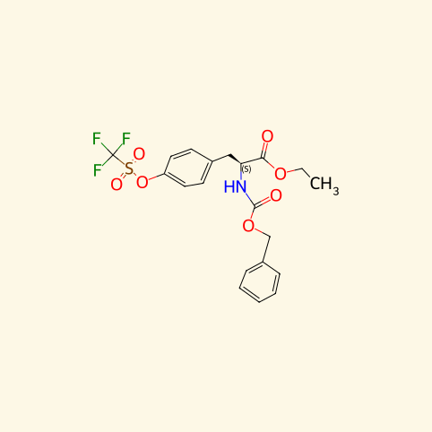 CCOC(=O)[C@H](Cc1ccc(OS(=O)(=O)C(F)(F)F)cc1)NC(=O)OCc1ccccc1